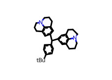 CC(C)(C)c1ccc(C(c2cc3c4c(c2)CCCN4CCC3)c2cc3c4c(c2)CCCN4CCC3)cc1